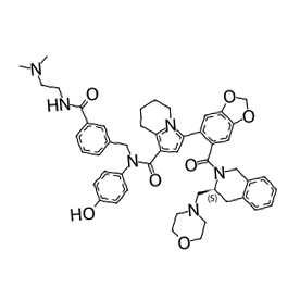 CN(C)CCNC(=O)c1cccc(CN(C(=O)c2cc(-c3cc4c(cc3C(=O)N3Cc5ccccc5C[C@H]3CN3CCOCC3)OCO4)n3c2CCCC3)c2ccc(O)cc2)c1